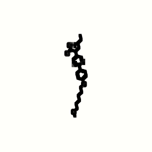 CCCCC(C(=O)O)c1cnc(-c2ccc(OCCCCCCOC)cc2)nc1